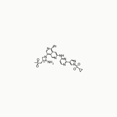 CC(C)c1ncc(N2C[C@H](CS(C)(=O)=O)[C@H]2N)c2cnc(Nc3ccnc(-c4cnn(S(=O)(=O)C5CC5)c4)n3)cc12